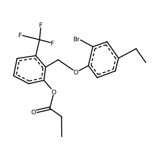 CCC(=O)Oc1cccc(C(F)(F)F)c1COc1ccc(CC)cc1Br